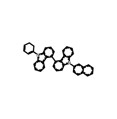 C1=CCCC(n2c3ccccc3c3c(-c4cccc5c4c4ccccc4n5-c4ccc5ccccc5c4)cccc32)=C1